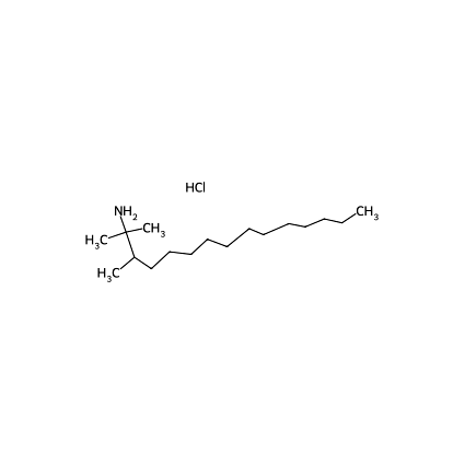 CCCCCCCCCCCCC(C)C(C)(C)N.Cl